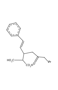 CC(C)CC(=O)CC(/C=C/c1ccccc1)C(C(=O)O)C(=O)O